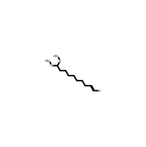 CC/C=C/CCCCCCCC(OCCCC)OCCCC